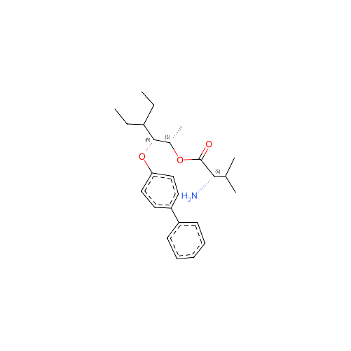 CCC(CC)[C@@H](Oc1ccc(-c2ccccc2)cc1)[C@H](C)OC(=O)[C@@H](N)C(C)C